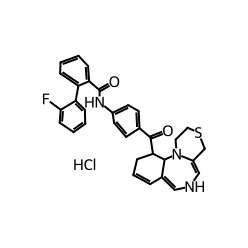 Cl.O=C(Nc1ccc(C(=O)C2CC=CC3=CNC=C4CSCCN4C32)cc1)c1ccccc1-c1ccccc1F